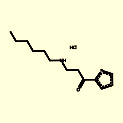 CCCCCCNCCC(=O)c1cccs1.Cl